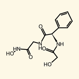 O=C(CNC(=O)[C@H](NC(=O)CO)c1ccccc1)NO